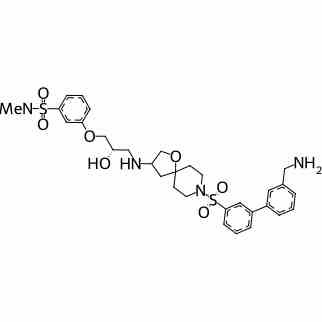 CNS(=O)(=O)c1cccc(OC[C@@H](O)CNC2COC3(CCN(S(=O)(=O)c4cccc(-c5cccc(CN)c5)c4)CC3)C2)c1